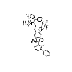 Cc1c(-c2ccccc2)cccc1-c1nc2cc(CC[C@@H](N)C(=O)O)c(OCC(F)(F)F)cc2o1